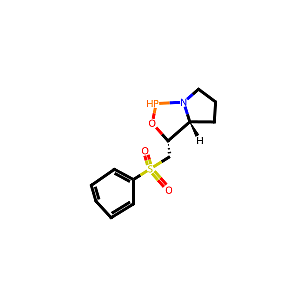 O=S(=O)(C[C@@H]1OPN2CCC[C@H]12)c1ccccc1